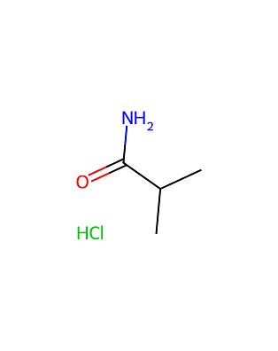 CC(C)C(N)=O.Cl